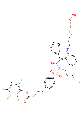 O=C(CCCc1ccc(S(=O)(=O)N(CCCS(=O)(=O)O)C(=O)c2c3ccccc3[n+](CCCSOOO)c3ccccc23)cc1)Oc1c(F)c(F)c(F)c(F)c1F